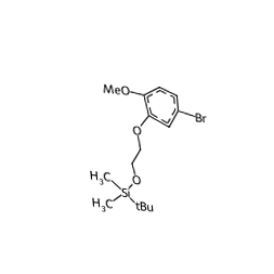 COc1ccc(Br)cc1OCCO[Si](C)(C)C(C)(C)C